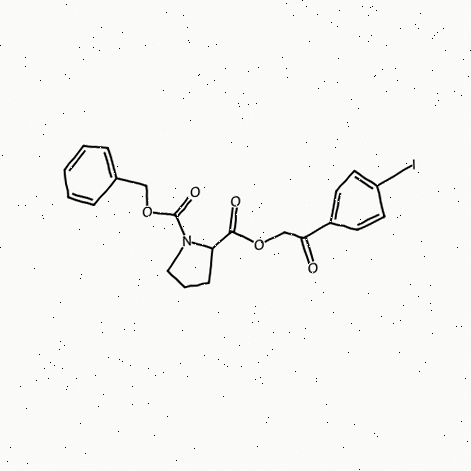 O=C(COC(=O)C1CCCN1C(=O)OCc1ccccc1)c1ccc(I)cc1